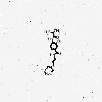 CCN(CC)CCCNC(=O)c1ccc(NC(=O)C(C)C)c(O)c1